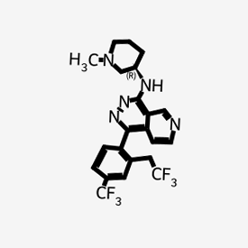 CN1CCC[C@@H](Nc2nnc(-c3ccc(C(F)(F)F)cc3CC(F)(F)F)c3ccncc23)C1